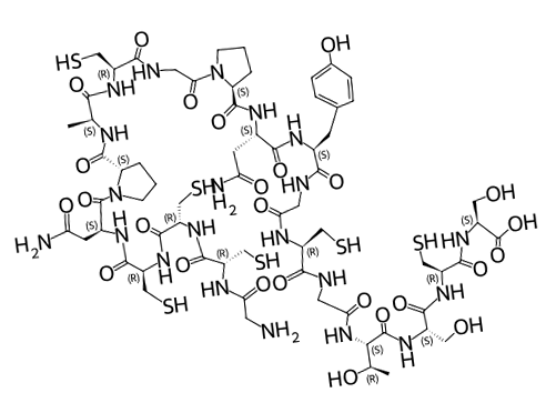 C[C@H](NC(=O)[C@@H]1CCCN1C(=O)[C@H](CC(N)=O)NC(=O)[C@H](CS)NC(=O)[C@H](CS)NC(=O)[C@H](CS)NC(=O)CN)C(=O)N[C@@H](CS)C(=O)NCC(=O)N1CCC[C@H]1C(=O)N[C@@H](CC(N)=O)C(=O)N[C@@H](Cc1ccc(O)cc1)C(=O)NCC(=O)N[C@@H](CS)C(=O)NCC(=O)N[C@H](C(=O)N[C@@H](CO)C(=O)N[C@@H](CS)C(=O)N[C@@H](CO)C(=O)O)[C@@H](C)O